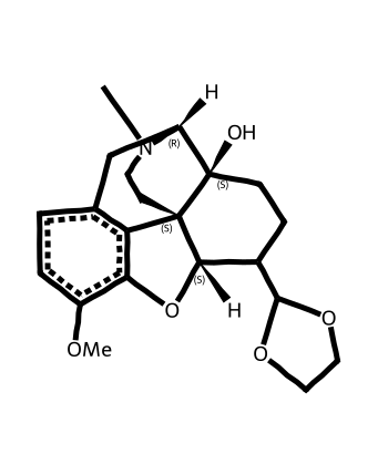 COc1ccc2c3c1O[C@H]1C(C4OCCO4)CC[C@@]4(O)[C@@H](C2)N(C)CC[C@]314